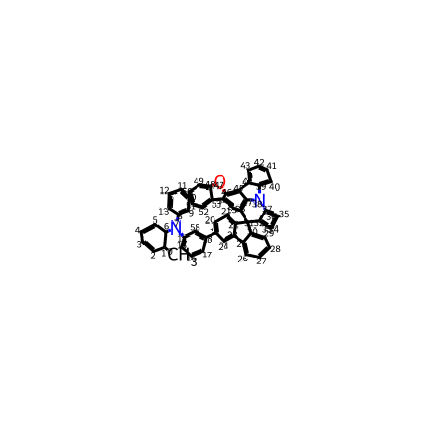 CC1C=CC=CC1N(c1ccccc1)c1cccc(-c2ccc3c(c2)-c2ccccc2C32c3ccccc3-n3c4ccccc4c4c5oc6ccccc6c5cc2c43)c1